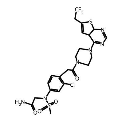 CS(=O)(=O)N(CC(N)=O)c1ccc(CC(=O)N2CCN(C3=NC=NC4SC(CC(F)(F)F)=CC34)CC2)c(Cl)c1